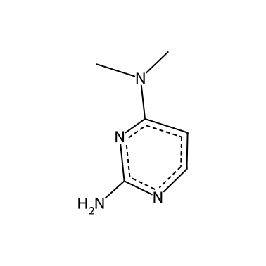 CN(C)c1ccnc(N)n1